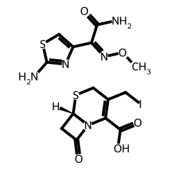 CO/N=C(\C(N)=O)c1csc(N)n1.O=C(O)C1=C(CI)CS[C@H]2CC(=O)N12